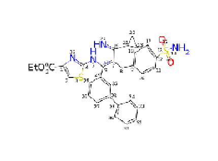 CCOC(=O)c1csc(N/C(=C(/Cc2ccc(S(N)(=O)=O)cc2)C(=N)C2CC2)c2cccc(-c3ccccc3)c2)n1